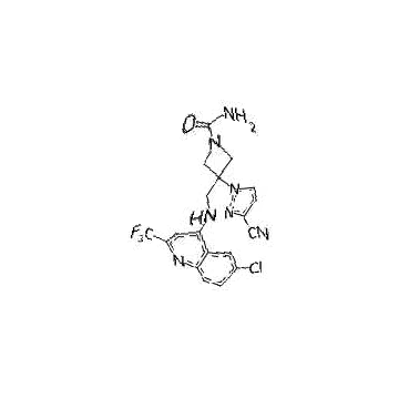 N#Cc1ccn(C2(CNc3cc(C(F)(F)F)nc4ccc(Cl)cc34)CN(C(N)=O)C2)n1